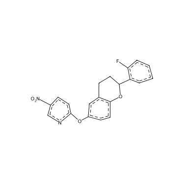 O=[N+]([O-])c1ccc(Oc2ccc3c(c2)CCC(c2ccccc2F)O3)nc1